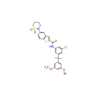 CC(C)Oc1cc(OC(F)(F)F)cc(C(C)(C)c2cc(Cl)cc(NC(=O)c3cc4cc(N5CCCCS5(=O)=O)ccc4s3)c2)c1